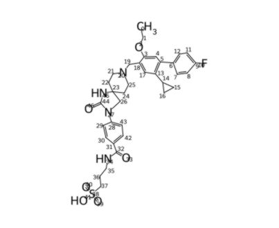 CCOc1cc(-c2ccc(F)cc2)c(C2CC2)cc1CN1CCC2(CC1)CN(c1ccc(C(=O)NCCCS(=O)(=O)O)cc1)C(=O)N2